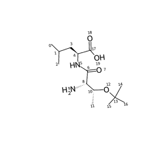 CC(C)C[C@H](NC(=O)[C@@H](N)[C@@H](C)OC(C)(C)C)C(=O)O